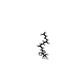 CC(C)=CCCC(C)=CCCC(C)=CCOC(=O)C(C)(C)C